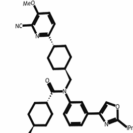 COc1ccc([C@H]2CC[C@H](CN(c3cccc(-c4coc(C(C)C)n4)c3)C(=O)[C@H]3CC[C@H](O)CC3)CC2)nc1C#N